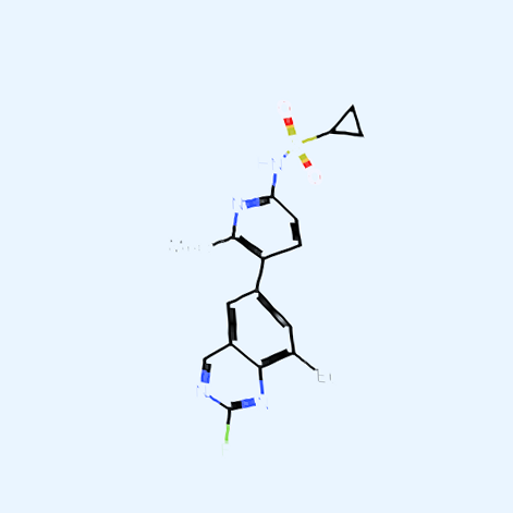 CCc1cc(-c2ccc(NS(=O)(=O)C3CC3)nc2OC)cc2cnc(F)nc12